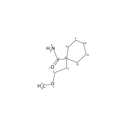 COCCC1(C(N)=O)CCCCC1